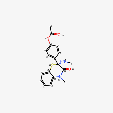 CNC1(c2ccc(OC(C)=O)cc2)Sc2ccccc2N(C)C1=O